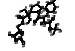 CCC(CC)(C(=O)OCc1oc(=O)oc1C)[C@H]1CC[C@@H](c2cccc(F)c2)N1C(=O)[C@@H](C)NC(=O)OC(C)(C)C